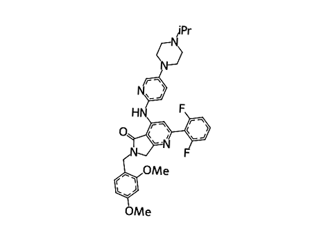 COc1ccc(CN2Cc3nc(-c4c(F)cccc4F)cc(Nc4ccc(N5CCN(C(C)C)CC5)cn4)c3C2=O)c(OC)c1